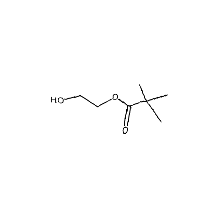 CC(C)(C)C(=O)OCCO